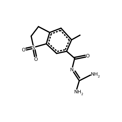 Cc1cc2c(cc1C(=O)N=C(N)N)S(=O)(=O)CC2